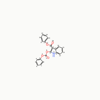 O=C(Oc1ccccc1)Oc1[nH]c2ccccc2c1C(=O)Oc1ccccc1